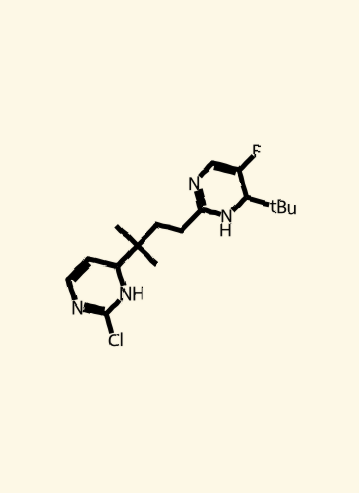 CC(C)(C)C1NC(CCC(C)(C)C2C=CN=C(Cl)N2)=NC=C1F